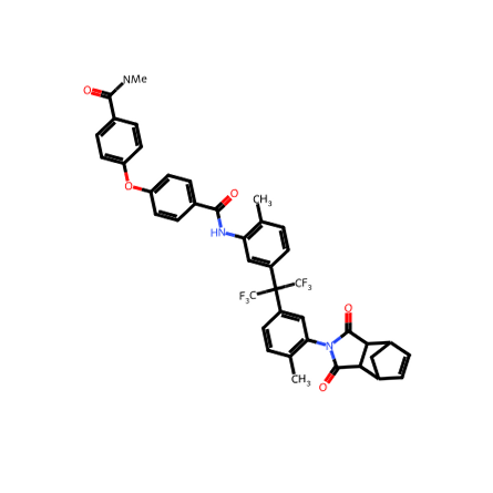 CNC(=O)c1ccc(Oc2ccc(C(=O)Nc3cc(C(c4ccc(C)c(N5C(=O)C6C7C=CC(C7)C6C5=O)c4)(C(F)(F)F)C(F)(F)F)ccc3C)cc2)cc1